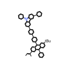 C/C=C(\C)c1ccc2c(-c3ccc(-c4ccc(-c5ccc6c(c5)c5cc(-c7ccccc7)ccc5n6-c5ccccc5)cc4)cc3)c3cc(C(C)(C)C)ccc3c(-c3ccccc3)c2c1